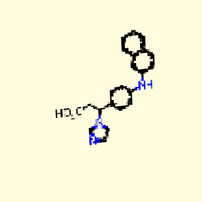 O=C(O)CC(c1ccc(Nc2ccc3ccccc3c2)cc1)n1ccnc1